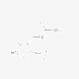 CC(C)(C)C(=O)NCc1n[nH]cc1C1CC1